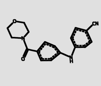 N#Cc1ccc(Nc2ccc(C(=O)N3CCOCC3)cc2)cc1